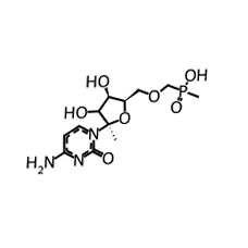 C[C@@]1(n2ccc(N)nc2=O)O[C@H](COCP(C)(=O)O)[C@H](O)C1O